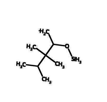 [CH2]C(O[SiH3])C(C)(C)C(C)C